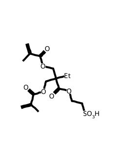 C=C(C)C(=O)OCC(CC)(COC(=O)C(=C)C)C(=O)OCCS(=O)(=O)O